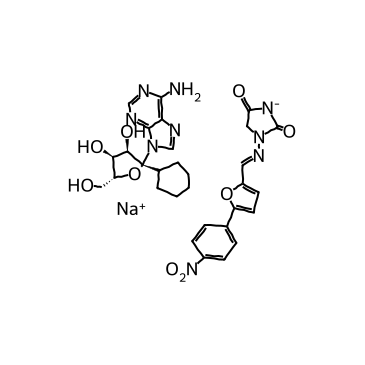 Nc1ncnc2c1ncn2[C@]1(C2CCCCC2)O[C@H](CO)[C@@H](O)[C@H]1O.O=C1CN(N=Cc2ccc(-c3ccc([N+](=O)[O-])cc3)o2)C(=O)[N-]1.[Na+]